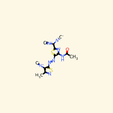 [C-]#[N+]c1c(C)nsc1/N=N/c1sc(C([N+]#[C-])[N+]#[C-])nc1NC(C)=O